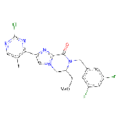 COCC1Cn2cc(-c3nc(Cl)ncc3C)nc2C(=O)N1Cc1cc(F)cc(F)c1